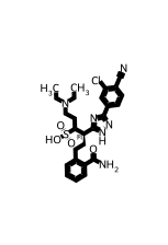 CCN(CC)CCC([C@H](CCc1ccccc1C(N)=O)c1nc(-c2ccc(C#N)c(Cl)c2)n[nH]1)S(=O)(=O)O